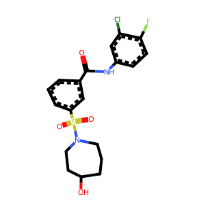 O=C(Nc1ccc(F)c(Cl)c1)c1cccc(S(=O)(=O)N2CCCC(O)CC2)c1